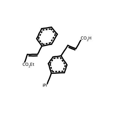 CC(C)c1ccc(C=CC(=O)O)cc1.CCOC(=O)C=Cc1ccccc1